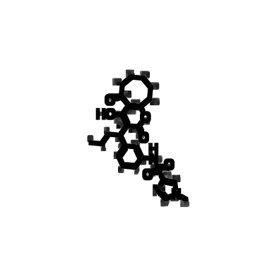 CCCC(c1cccc(NS(=O)(=O)c2cn(C)cn2)c1)c1c(O)c2c(oc1=O)CCCCCC2=O